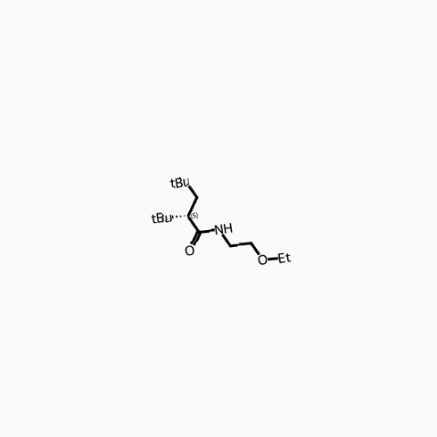 CCOCCNC(=O)[C@@H](CC(C)(C)C)C(C)(C)C